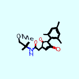 COCC(C)(C)NC(=O)CC1CC(=O)C(c2c(C)cc(C)cc2C)C1=O